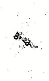 CNC(=O)c1cc(C)c(C[C@H](N)CNC(=O)C[C@H](c2ccccc2)C2(C(F)(F)F)CC2)cc1F